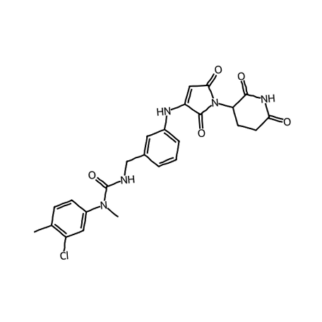 Cc1ccc(N(C)C(=O)NCc2cccc(NC3=CC(=O)N(C4CCC(=O)NC4=O)C3=O)c2)cc1Cl